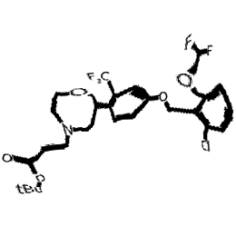 CC(C)(C)OC(=O)CCN1CCOC(c2ccc(OCc3c(Cl)cccc3OC(F)F)cc2C(F)(F)F)C1